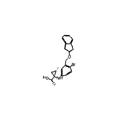 C[C@H]1CC1(Nc1ccc(Br)c(COC2Cc3ccccc3C2)c1)C(=O)O